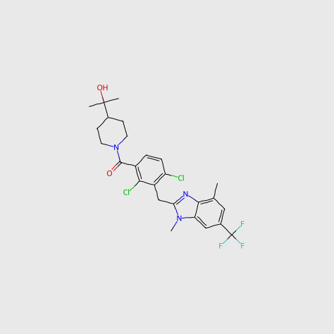 Cc1cc(C(F)(F)F)cc2c1nc(Cc1c(Cl)ccc(C(=O)N3CCC(C(C)(C)O)CC3)c1Cl)n2C